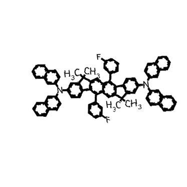 CC1(C)c2cc(N(c3ccc4ccccc4c3)c3ccc4ccccc4c3)ccc2-c2c1cc1c(-c3cccc(F)c3)c3c(cc1c2-c1cccc(F)c1)C(C)(C)c1cc(N(c2ccc4ccccc4c2)c2ccc4ccccc4c2)ccc1-3